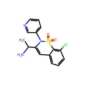 CC(N)C1=Cc2cccc(Cl)c2S(=O)(=O)N1c1cccnc1